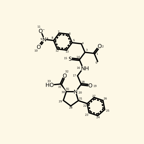 CC(=O)C(Cc1ccc([N+](=O)[O-])cc1)C(=S)NCC(=O)N1C(c2ccccc2)CC[C@H]1C(=O)O